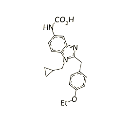 CCOc1ccc(Cc2nc3cc(NC(=O)O)ccc3n2CC2CC2)cc1